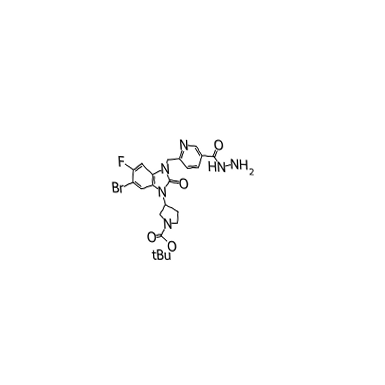 CC(C)(C)OC(=O)N1CCC(n2c(=O)n(Cc3ccc(C(=O)NN)cn3)c3cc(F)c(Br)cc32)C1